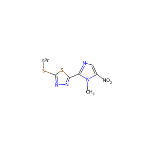 CCCSc1nnc(-c2ncc([N+](=O)[O-])n2C)s1